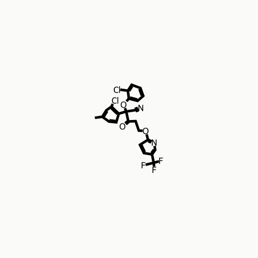 Cc1ccc(C(C#N)(Oc2ccccc2Cl)C(=O)CCOc2ccc(C(F)(F)F)cn2)c(Cl)c1